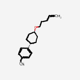 C=CCCCO[C@H]1CC[C@H](c2ccc(C#N)cc2)CC1